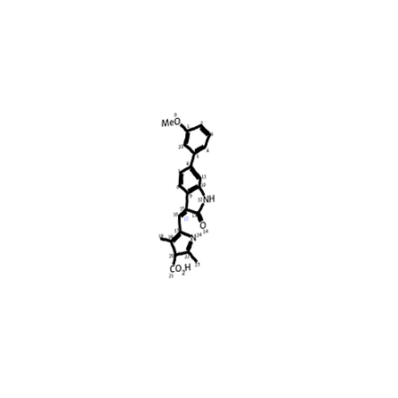 COc1cccc(-c2ccc3c(c2)NC(=O)/C3=C\C2=C(C)C(C(=O)O)C(C)=N2)c1